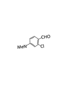 CNc1ccc(C=O)c(Cl)c1